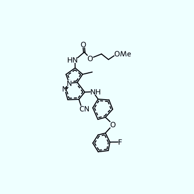 COCCOC(=O)Nc1cn2ncc(C#N)c(Nc3ccc(Oc4ccccc4F)cc3)c2c1C